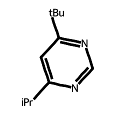 CC(C)c1cc(C(C)(C)C)ncn1